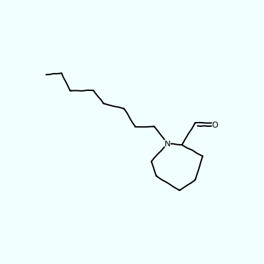 CCCCCCCCN1CCCCCC1C=O